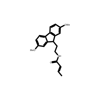 C/C=C/C(=O)NCCC1c2cc(OC)ccc2-c2ccc(OC)cc21